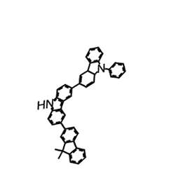 CC1(C)c2ccccc2-c2ccc(-c3ccc4[nH]c5ccc(C6=CC7c8ccccc8N(c8ccccc8)C7C=C6)cc5c4c3)cc21